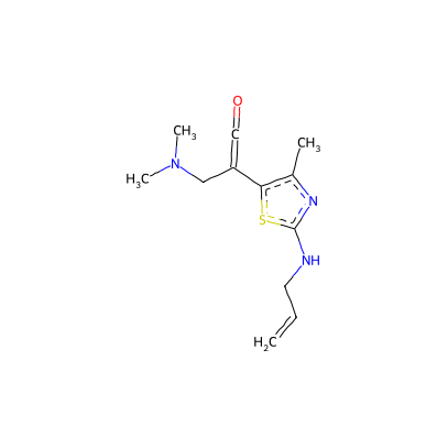 C=CCNc1nc(C)c(C(=C=O)CN(C)C)s1